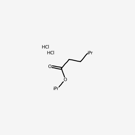 CC(C)CCC(=O)OC(C)C.Cl.Cl